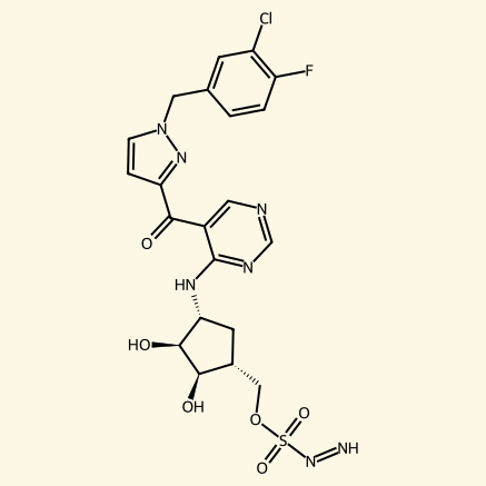 N=NS(=O)(=O)OC[C@H]1C[C@@H](Nc2ncncc2C(=O)c2ccn(Cc3ccc(F)c(Cl)c3)n2)[C@H](O)[C@@H]1O